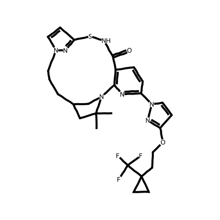 CC1(C)CC2CCCn3ccc(n3)SNC(=O)c3ccc(-n4ccc(OCCC5(C(F)(F)F)CC5)n4)nc3N1C2